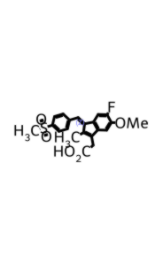 COc1cc2c(cc1F)/C(=C/c1ccc(S(C)(=O)=O)cc1)C(C)=C2CC(=O)O